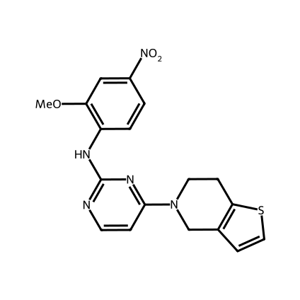 COc1cc([N+](=O)[O-])ccc1Nc1nccc(N2CCc3sccc3C2)n1